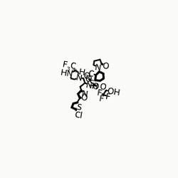 Cc1c(N2CCCC2=O)cccc1S(=O)(=O)NC(Cc1cc(-c2ccc(Cl)s2)on1)C(=O)N1CCN[C@H](C(F)(F)F)C1.O=C(O)C(F)(F)F